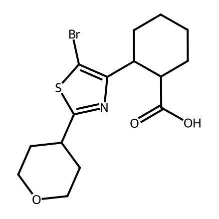 O=C(O)C1CCCCC1c1nc(C2CCOCC2)sc1Br